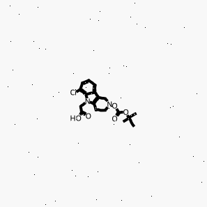 CC(C)(C)OC(=O)ON1CCc2c(c3cccc(Cl)c3n2CC(=O)O)C1